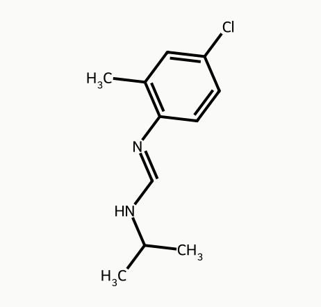 Cc1cc(Cl)ccc1N=CNC(C)C